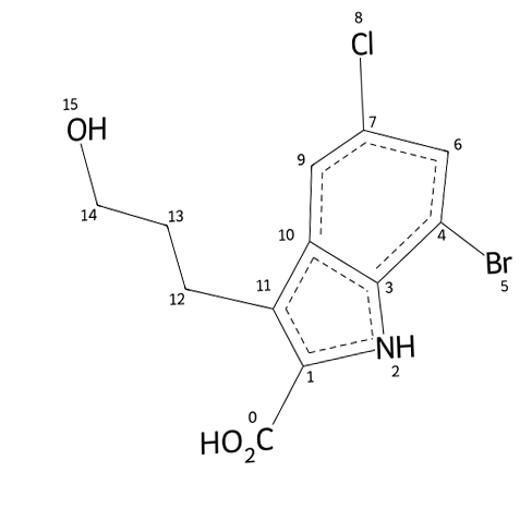 O=C(O)c1[nH]c2c(Br)cc(Cl)cc2c1CCCO